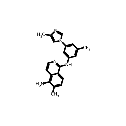 Cc1cn(-c2cc(Nc3nccc4c(N)c(C)ccc34)cc(C(F)(F)F)c2)cn1